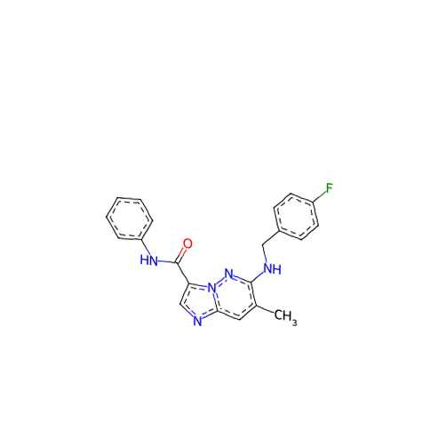 Cc1cc2ncc(C(=O)Nc3ccccc3)n2nc1NCc1ccc(F)cc1